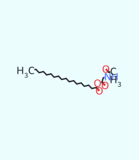 CCCCCCCCCCCCCCCCCC(=O)OC(=O)CNC(C)=O